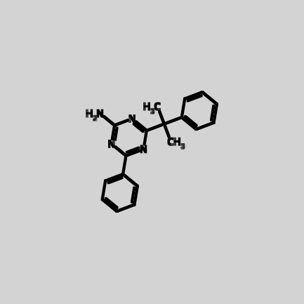 CC(C)(c1ccccc1)c1nc(N)nc(-c2ccccc2)n1